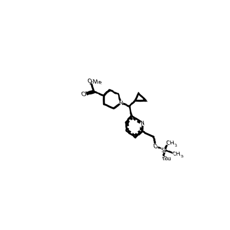 COC(=O)C1CCN(C(c2cccc(CO[Si](C)(C)C(C)(C)C)n2)C2CC2)CC1